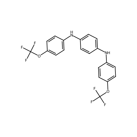 FC(F)(F)Oc1ccc(Nc2ccc(Nc3ccc(OC(F)(F)F)cc3)cc2)cc1